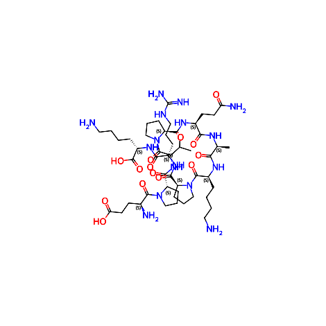 CC(C)[C@H](NC(=O)[C@@H]1CCCN1C(=O)[C@@H](N)CCC(=O)O)C(=O)N1CCC[C@H]1C(=O)N[C@@H](CCC(N)=O)C(=O)N[C@@H](C)C(=O)N[C@@H](CCCCN)C(=O)N1CCC[C@H]1C(=O)N[C@@H](CCCNC(=N)N)C(=O)N[C@@H](CCCCN)C(=O)O